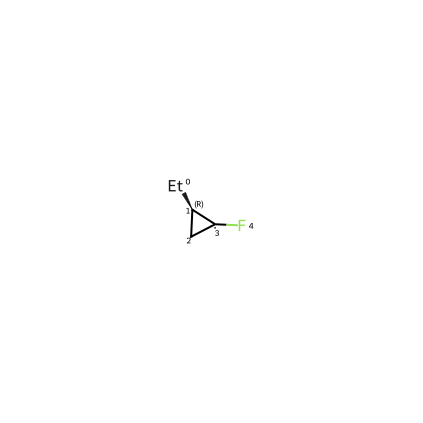 CC[C@@H]1C[C]1F